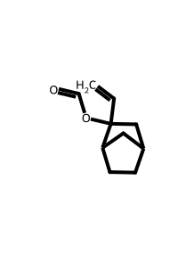 C=CC1(OC=O)CC2CCC1C2